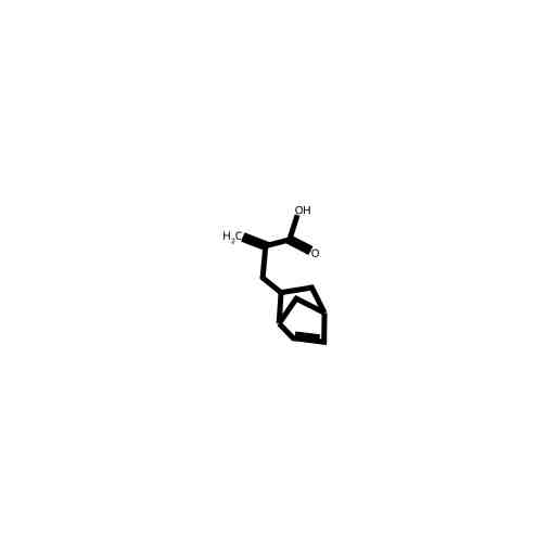 C=C(CC1CC2C=CC1C2)C(=O)O